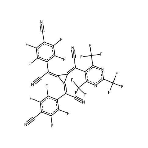 N#CC(=C1C(=C(\C#N)c2c(C(F)(F)F)nc(C(F)(F)F)nc2C(F)(F)F)/C1=C(\C#N)c1c(F)c(F)c(C#N)c(F)c1F)c1c(F)c(F)c(C#N)c(F)c1F